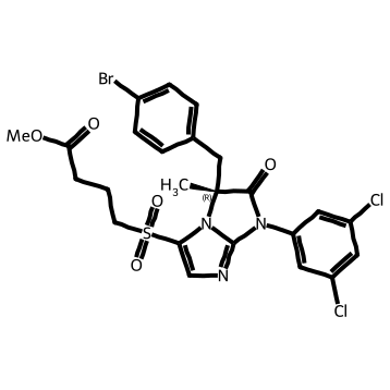 COC(=O)CCCS(=O)(=O)c1cnc2n1[C@](C)(Cc1ccc(Br)cc1)C(=O)N2c1cc(Cl)cc(Cl)c1